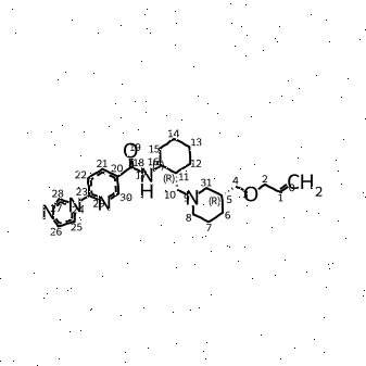 C=CCOC[C@@H]1CCCN(C[C@H]2CCCC[C@@H]2NC(=O)c2ccc(-n3ccnc3)nc2)C1